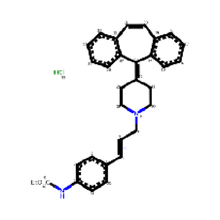 CCOC(=O)Nc1ccc(/C=C/CN2CCC(=C3c4ccccc4C=Cc4ccccc43)CC2)cc1.Cl